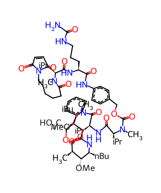 CCCC[C@H](NC(=O)C[C@@H](OC)[C@H]([C@@H](C)CC)N(C)C(=O)[C@@H](NC(=O)[C@H](C(C)C)N(C)C(=O)OCc1ccc(NC(=O)[C@H](CCCNC(N)=O)NC(=O)[C@H](C(C)C)N(C)C(=O)CCCCCN2C(=O)C=CC2=O)cc1)C(C)C)[C@H](OC)[C@@H](C)C(=O)O[C@@H](Cc1ccccc1)C(=O)O